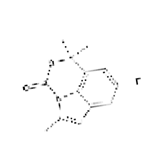 Cc1cc2cc(F)cc3c2n1C(=O)OC3(C)C